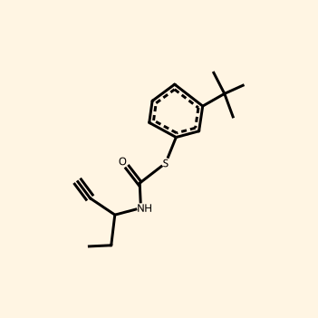 C#CC(CC)NC(=O)Sc1cccc(C(C)(C)C)c1